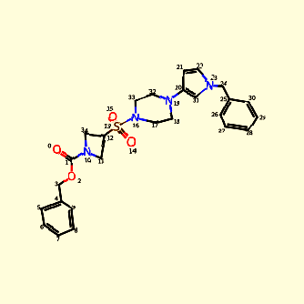 O=C(OCc1ccccc1)N1CC(S(=O)(=O)N2CCN(c3ccn(Cc4ccccc4)c3)CC2)C1